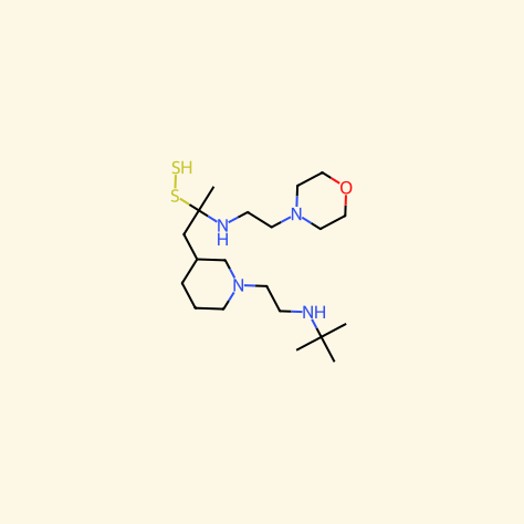 CC(C)(C)NCCN1CCCC(CC(C)(NCCN2CCOCC2)SS)C1